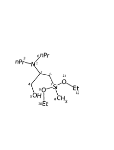 CCCN(CCC)C(CO)C[Si](C)(OCC)OCC